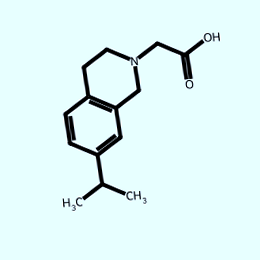 CC(C)c1ccc2c(c1)CN(CC(=O)O)CC2